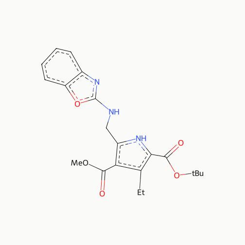 CCc1c(C(=O)OC(C)(C)C)[nH]c(CNc2nc3ccccc3o2)c1C(=O)OC